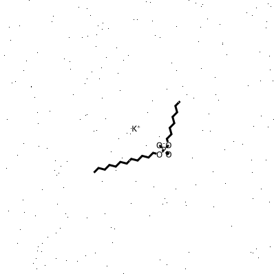 CCCCCCCCCCCCOP(=O)([O-])OCCCCCCCC.[K+]